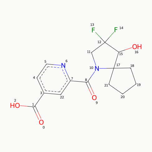 O=C(O)c1ccnc(C(=O)N2CC(F)(F)C(O)C23CCCC3)c1